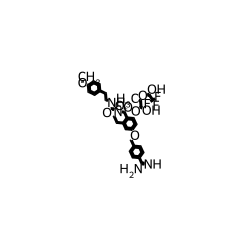 CCC(=O)O.COc1ccc(CCNC(=O)[N+]2([O-])CCc3cc(OCc4ccc(C(=N)N)cc4)ccc3C2=O)cc1.O=C(O)C(F)(F)F